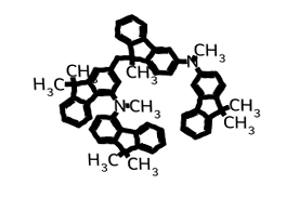 CN(c1ccc2c(c1)-c1ccccc1C2(C)C)c1ccc2c(c1)-c1ccccc1C2(C)Cc1cc(N(C)c2cccc3c2-c2ccccc2C3(C)C)c2c(c1)C(C)(C)c1ccccc1-2